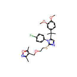 COc1ccc(C(C)(C)c2cnc(SCCOCc3c(C)noc3C)n2-c2ccc(F)cc2)cc1OC